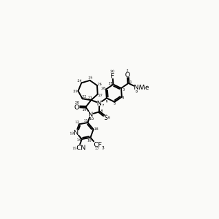 CNC(=O)c1ccc(N2C(=S)N(c3cnc(C#N)c(C(F)(F)F)c3)C(=O)C23CCCCCC3)cc1F